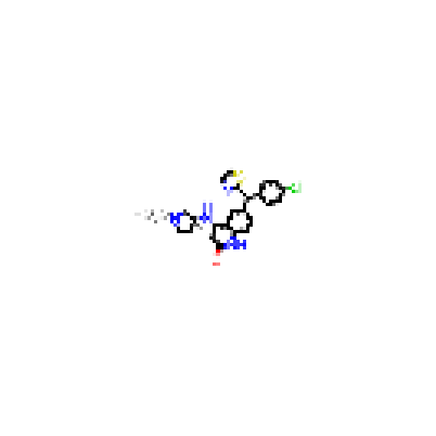 O=C(O)N1CC[C@H](Nc2cc(=O)[nH]c3ccc(C(c4ccc(Cl)cc4)c4nccs4)cc23)C1